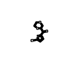 O=C(c1ccc(Cl)s1)C1COCCO1